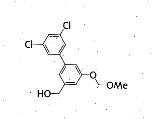 COCOc1cc(CO)cc(-c2cc(Cl)cc(Cl)c2)c1